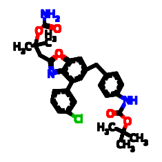 CC(C)(C)OC(=O)Nc1ccc(Cc2cc(-c3cccc(Cl)c3)c3nc(CC(C)(C)OC(N)=O)oc3c2)cc1